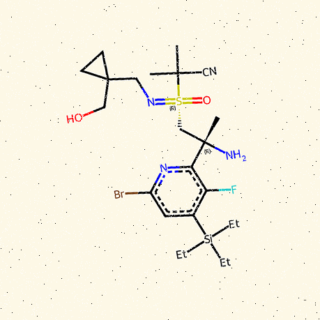 CC[Si](CC)(CC)c1cc(Br)nc([C@@](C)(N)C[S@](=O)(=NCC2(CO)CC2)C(C)(C)C#N)c1F